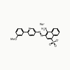 COc1cccc(-c2ccc(N=Nc3cc(S(=O)(=O)[O-])c4ccccc4c3N)cn2)c1.[Na+]